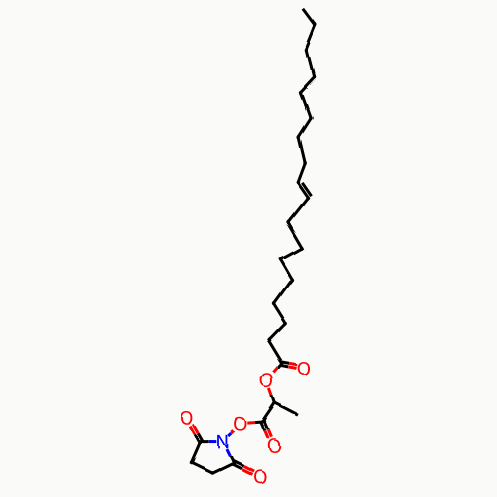 CCCCCCCCC=CCCCCCCCC(=O)OC(C)C(=O)ON1C(=O)CCC1=O